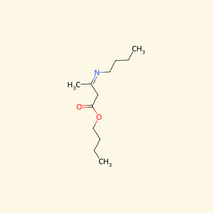 CCCCN=C(C)CC(=O)OCCCC